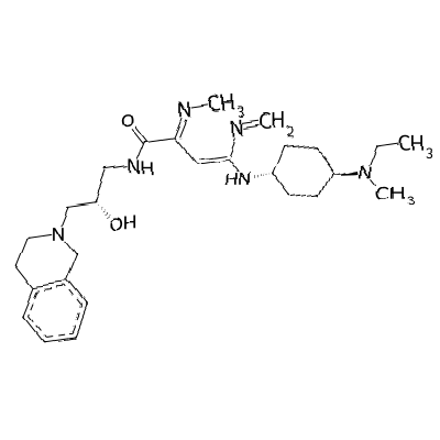 C=N/C(=C\C(=N/C)C(=O)NC[C@H](O)CN1CCc2ccccc2C1)N[C@H]1CC[C@H](N(C)CC)CC1